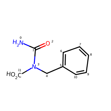 NC(=O)N(Cc1ccccc1)C(=O)O